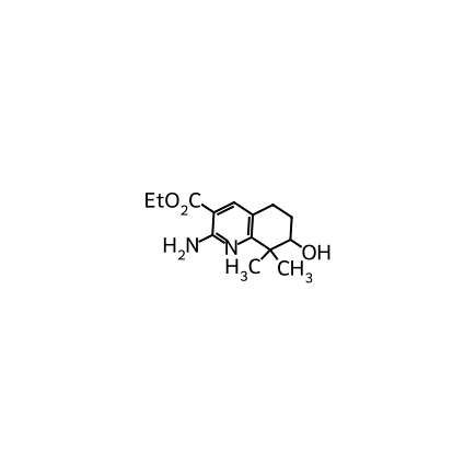 CCOC(=O)c1cc2c(nc1N)C(C)(C)C(O)CC2